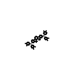 Cc1ccc(N(c2ccc(C)c(C)c2)c2ccc3c(c2)C(C)(C)c2c-3ccc3c2C(C)(C)c2cc(N(c4ccc(C)c(C)c4)c4ccc(C)c(C)c4)ccc2-3)cc1C